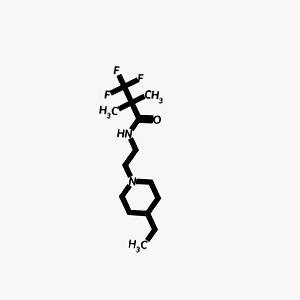 CCC1CCN(CCNC(=O)C(C)(C)C(F)(F)F)CC1